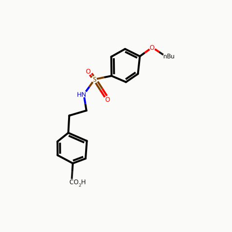 CCCCOc1ccc(S(=O)(=O)NCCc2ccc(C(=O)O)cc2)cc1